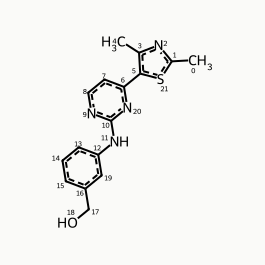 Cc1nc(C)c(-c2ccnc(Nc3cccc(CO)c3)n2)s1